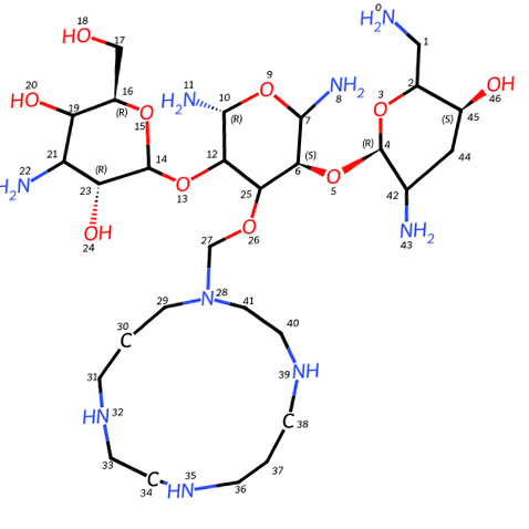 NCC1O[C@H](O[C@@H]2C(N)O[C@@H](N)C(OC3O[C@H](CO)C(O)C(N)[C@H]3O)C2OCN2CCCNCCNCCCNCC2)C(N)C[C@@H]1O